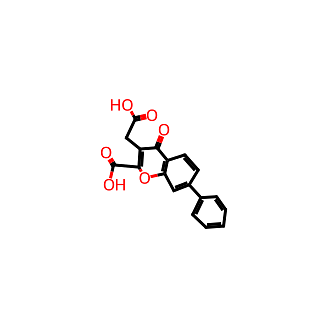 O=C(O)Cc1c(C(=O)O)oc2cc(-c3ccccc3)ccc2c1=O